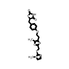 Cc1oc(CSc2nccn2C)nc1CCOc1ccc(CC2SC(=O)NC2=O)cc1